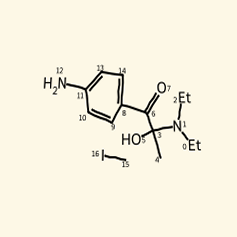 CCN(CC)C(C)(O)C(=O)c1ccc(N)cc1.CI